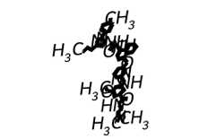 CCCCc1cc(NC(=O)Nc2ccc(Oc3ccnc(Nc4cc(OC)cc(C(=O)NCCN(C)C)c4)n3)c3ccccc23)n(-c2ccc(C)cc2)n1